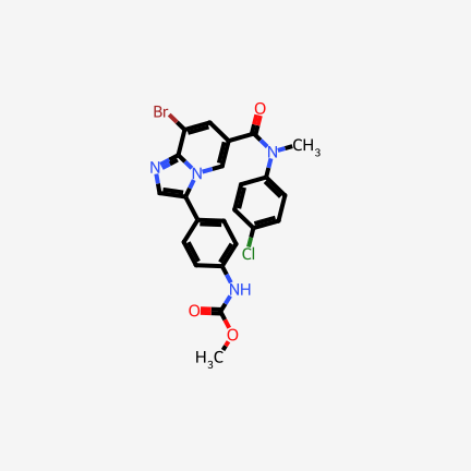 COC(=O)Nc1ccc(-c2cnc3c(Br)cc(C(=O)N(C)c4ccc(Cl)cc4)cn23)cc1